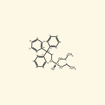 CCOP(=O)(OCC)OCC(c1ccccc1)(c1ccccc1)c1ccccc1